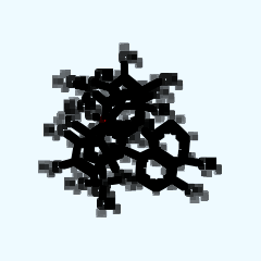 CC1=C(C)C(C)([SiH](c2ccc(C)cc2)c2cc(C)cc([Si](C)(C)C)c2)[C]([Ti]([CH3])([CH3])[C]2=C(C)C(C)=C(C)C2(C)[SiH](c2ccc(C)cc2)c2cc(C)cc([Si](C)(C)C)c2)=C1C